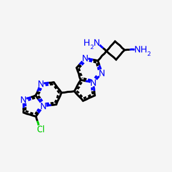 NC1CC(N)(c2ncc3c(-c4cnc5ncc(Cl)n5c4)ccn3n2)C1